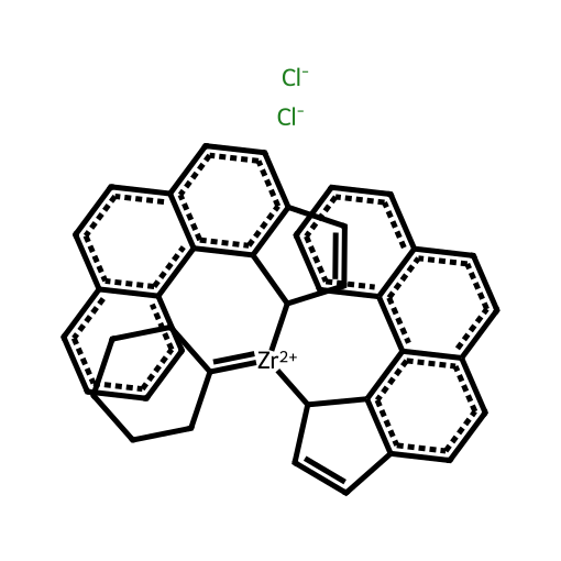 C1=C[CH]([Zr+2](=[C]2CCCCC2)[CH]2C=Cc3ccc4ccc5ccccc5c4c32)c2c1ccc1ccc3ccccc3c21.[Cl-].[Cl-]